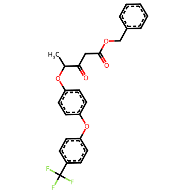 CC(Oc1ccc(Oc2ccc(C(F)(F)F)cc2)cc1)C(=O)CC(=O)OCc1ccccc1